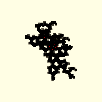 CN(C)Cc1ncc(CO)n1-c1cc(Br)ccc1-c1cnc(C(=O)c2ncc(-c3ccc(Br)cc3-n3c(CO)cnc3CN(C)C)cc2-c2ccc(Br)cc2-n2c(CO)cnc2CN(C)C)c(-c2ccc(Br)cc2-n2c(CO)cnc2CN(C)C)c1